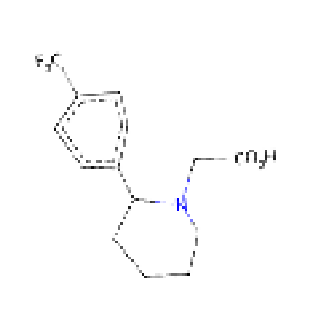 O=C(O)CN1CCCCC1c1ccc(C(F)(F)F)cc1